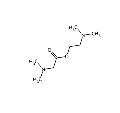 CN(C)CCOC(=O)CN(C)C